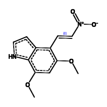 COc1cc(OC)c2[nH]ccc2c1/C=C/[N+](=O)[O-]